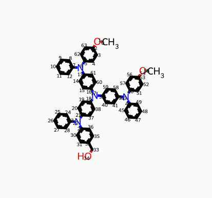 COc1ccc(N(c2ccccc2)c2ccc(N(c3ccc(N(c4ccccc4)c4ccc(CO)cc4)cc3)c3ccc(N(c4ccccc4)c4ccc(OC)cc4)cc3)cc2)cc1